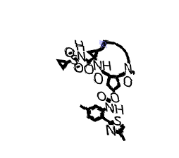 Cc1ccc(-c2nc(C)cs2)c(NC(=O)OC2CC3C(=O)NC4(C(=O)NS(=O)(=O)C5CC5)CC4/C=C/CCCCN(C)C(=O)C3C2)c1